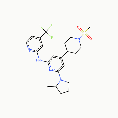 C[C@@H]1CCCN1c1cc(C2CCN(S(C)(=O)=O)CC2)cc(Nc2cc(C(F)(F)F)ccn2)n1